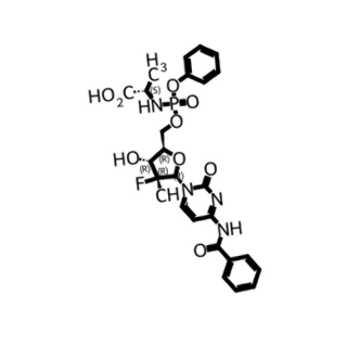 C[C@H](NP(=O)(OC[C@H]1O[C@@H](n2ccc(NC(=O)c3ccccc3)nc2=O)[C@](C)(F)[C@@H]1O)Oc1ccccc1)C(=O)O